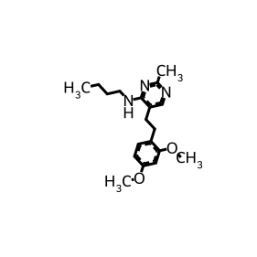 CCCCNc1nc(C)ncc1CCc1ccc(OC)cc1OC